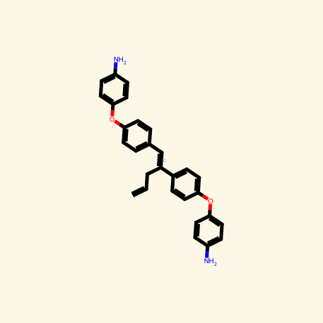 C=CC/C(=C\c1ccc(Oc2ccc(N)cc2)cc1)c1ccc(Oc2ccc(N)cc2)cc1